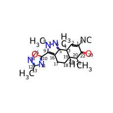 [C-]#[N+]C1=C[C@]2(C)c3nn(C)c(-c4nc(C)no4)c3CC[C@H]2[C@H](C)C1=O